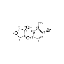 O[C@@H]1COC[C@H]1Oc1ccc(Br)c(F)c1